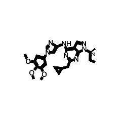 CC[C@H](C)n1ncc2c(Nc3cn(-c4cc(OC)c(OC)c(OC)c4)cn3)nc(CC3CC3)nc21